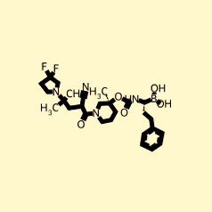 CC(C)(CC(C#N)C(=O)N1CCC[C@](C)(OC(=O)N[C@@H](CCc2ccccc2)B(O)O)C1)N1CCC(F)(F)C1